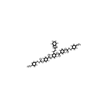 CCCc1ccc(CCC(=O)Oc2ccc(C(=O)Oc3ccc(OC(=O)c4ccc(OC(=O)CCc5ccc(CCC)cc5)cc4)c(/C=C/c4nc5ccccc5s4)c3)cc2)cc1